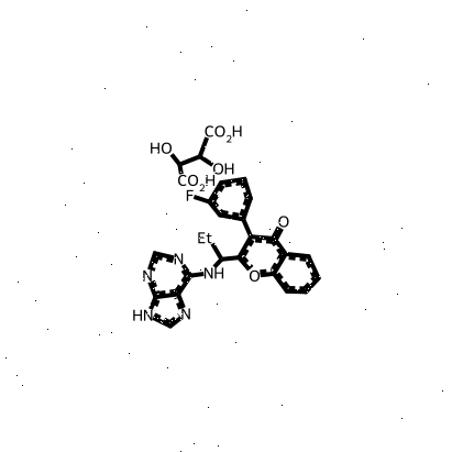 CCC(Nc1ncnc2[nH]cnc12)c1oc2ccccc2c(=O)c1-c1cccc(F)c1.O=C(O)C(O)C(O)C(=O)O